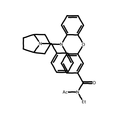 CCN(C(C)=O)C(=O)c1ccc2c(c1)Oc1ccccc1N2C1CC2CCC(C1)N2Cc1ccccc1